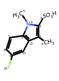 Cc1c(S(=O)(=O)O)n(C)c2ccc(F)cc12